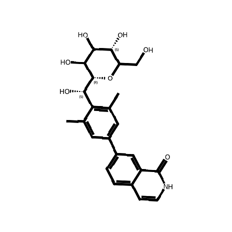 Cc1cc(-c2ccc3cc[nH]c(=O)c3c2)cc(C)c1[C@H](O)[C@H]1OC(CO)[C@@H](O)C(O)C1O